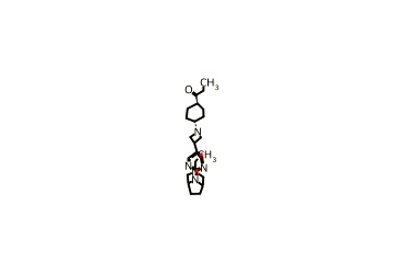 CCC(=O)[C@H]1CC[C@H](N2CC(c3cnc(N4C5CCC4CN(CC)C5)nc3)C2)CC1